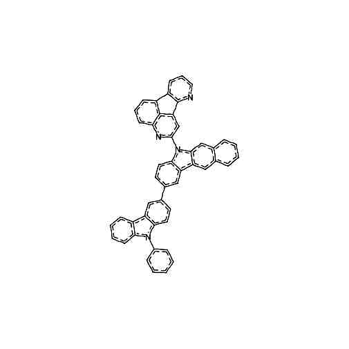 c1ccc(-n2c3ccccc3c3cc(-c4ccc5c(c4)c4cc6ccccc6cc4n5-c4cc5c6c(cccc6n4)-c4cccnc4-5)ccc32)cc1